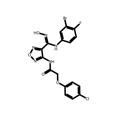 O=C(COc1ccc(Cl)cc1)Nc1nonc1/C(=N\O)Nc1ccc(F)c(Br)c1